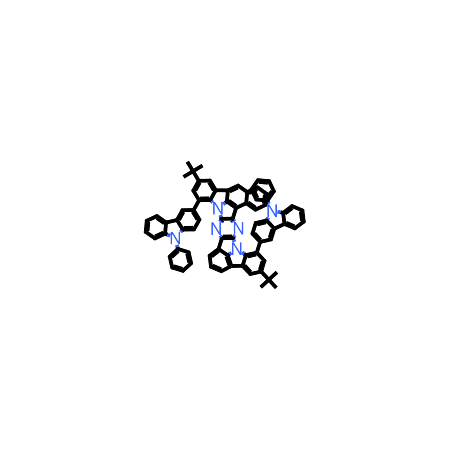 CC(C)(C)c1cc(-c2ccc3c(c2)c2ccccc2n3-c2ccccc2)c2c(c1)c1cccc3c4nc5c(nc4n2c13)c1c2ccccc2cc2c3cc(C(C)(C)C)cc(-c4ccc6c(c4)c4ccccc4n6-c4ccccc4)c3n5c21